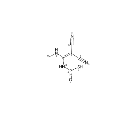 CNC(N[PH](=O)S)=C(C#N)C#N